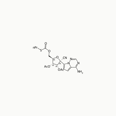 CCCSC(=O)OC[C@H]1O[C@@](C#N)(c2ccc3c(N)ncnn23)[C@H](OC(C)=O)[C@@H]1OC(C)=O